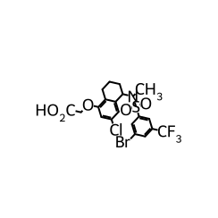 CN(C1CCCc2c(OCC(=O)O)cc(Cl)cc21)S(=O)(=O)c1cc(Br)cc(C(F)(F)F)c1